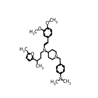 COc1ccc(C=CN(CCC(C)c2ccc(C)o2)C2CCN(Cc3ccc(N(C)C)cc3)CC2)cc1OC